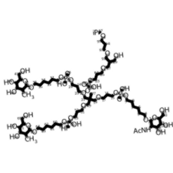 CC(=O)NC1[C@H](OCCCCCCOP(=O)(O)OCCCOCC(COCCCOP(=O)(O)OCCCCCCO[C@@H]2OC(CO)[C@H](O)[C@H](O)C2C)(COCCCOP(O)(=P)OCCCCCCO[C@@H]2OC(CO)[C@H](O)[C@H](O)C2C)COP(=O)(O)OCCCOCC(CO)COCCCOC(C)C)OC(CO)[C@H](O)[C@@H]1O